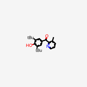 Cc1cccnc1C(=O)c1cc(C(C)(C)C)c(O)c(C(C)(C)C)c1